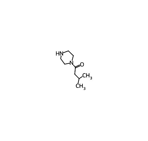 CC(C)CC(=O)N1CCNCC1